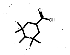 CC1C(C)(C)CC(C(=O)O)CC1(C)C